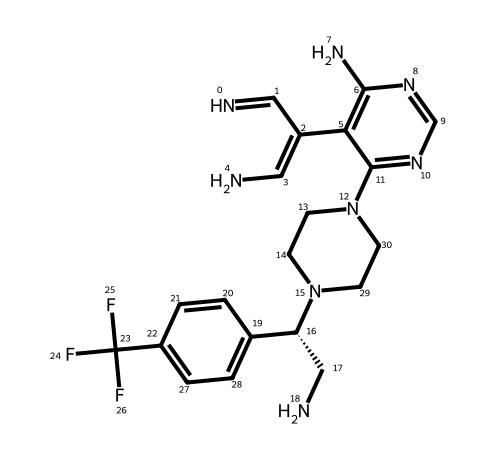 N=C/C(=C\N)c1c(N)ncnc1N1CCN([C@H](CN)c2ccc(C(F)(F)F)cc2)CC1